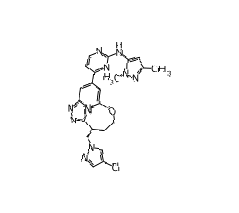 Cc1cc(Nc2nccc(-c3cc4n5c(nnc5c3)[C@H](Cn3cc(Cl)cn3)CCO4)n2)n(C)n1